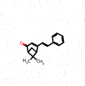 CC1(C)C2CC1C(C=Cc1ccccc1)=CC2=O